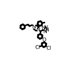 Cc1cccc(C)c1-n1nnnc1C(c1cccc(Oc2cc(Cl)cc(Cl)c2)c1)N1CCN(CC=Cc2ccccc2)CC1